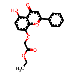 CCOC(=O)COc1ccc(O)c2c(=O)cc(-c3ccccc3)oc12